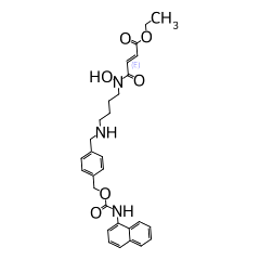 CCOC(=O)/C=C/C(=O)N(O)CCCCNCc1ccc(COC(=O)Nc2cccc3ccccc23)cc1